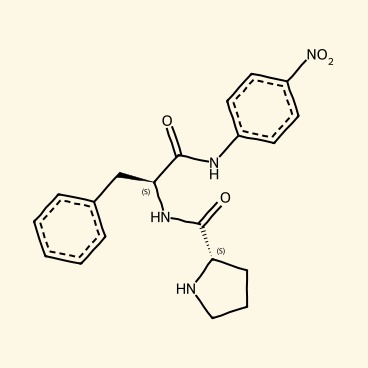 O=C(N[C@@H](Cc1ccccc1)C(=O)Nc1ccc([N+](=O)[O-])cc1)[C@@H]1CCCN1